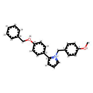 COc1ccc(Cn2cccc2-c2ccc(OCc3ccccc3)cc2)cc1